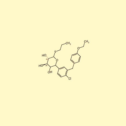 CCCSC1OC(c2ccc(Cl)c(Cc3ccc(OCC)cc3)c2)C(O)[C@@H](O)[C@@H]1O